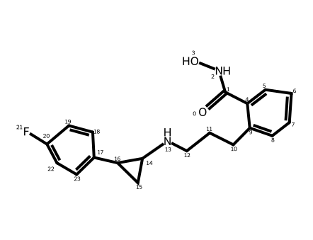 O=C(NO)c1ccccc1CCCNC1CC1c1ccc(F)cc1